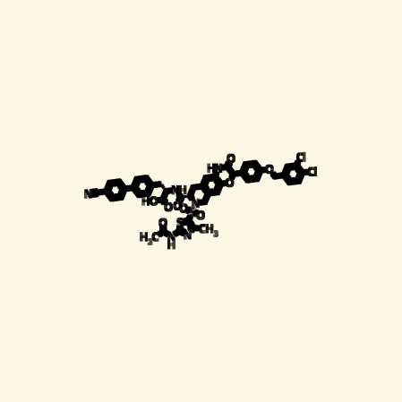 CC(=O)Nc1nc(C)c(S(=O)(=O)N2Cc3cc4c(cc3C[C@H]2C(=O)N[C@@H](Cc2ccc(-c3ccc(C#N)cc3)cc2)C(=O)O)NC(=O)C(c2ccc(OCc3ccc(Cl)c(Cl)c3)cc2)O4)s1